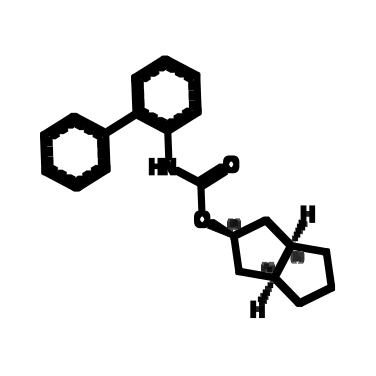 O=C(Nc1ccccc1-c1ccccc1)O[C@H]1C[C@H]2CCC[C@H]2C1